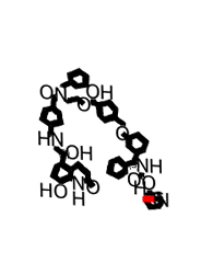 O=C(N[C@@H](c1ccccc1)c1cccc(OCc2ccc(C(O)OCCN(Cc3ccccc3)C(=O)c3ccc(CNC[C@H](O)c4ccc(O)c5[nH]c(=O)ccc45)cc3)cc2)c1)O[C@H]1CN2CCC1CC2